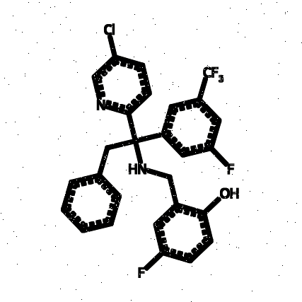 Oc1ccc(F)cc1CNC(Cc1ccccc1)(c1cc(F)cc(C(F)(F)F)c1)c1ccc(Cl)cn1